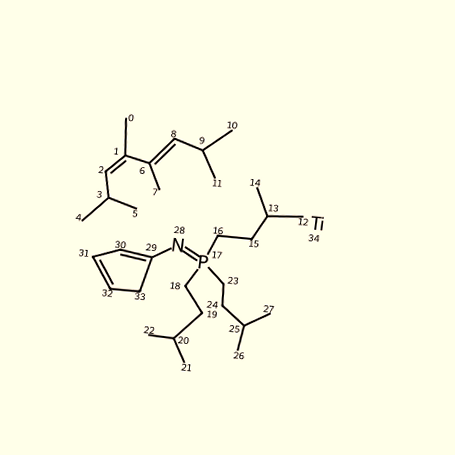 CC(=CC(C)C)C(C)=CC(C)C.CC(C)CCP(CCC(C)C)(CCC(C)C)=NC1=CC=CC1.[Ti]